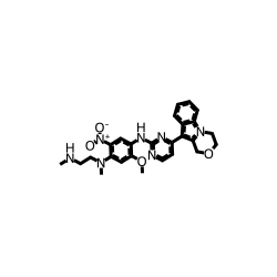 CNCCN(C)c1cc(OC)c(Nc2nccc(-c3c4n(c5ccccc35)CCOC4)n2)cc1[N+](=O)[O-]